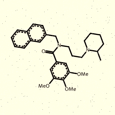 COc1cc(C(=O)N(CCCN2CCCCC2C)Cc2ccc3ccccc3c2)cc(OC)c1OC